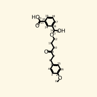 COc1ccc(CCC(=O)CCCOC(O)c2cccc(C(=O)O)c2)cc1